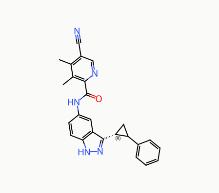 Cc1c(C#N)cnc(C(=O)Nc2ccc3[nH]nc([C@@H]4CC4c4ccccc4)c3c2)c1C